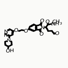 CNC(=O)C(CCC=O)N1C(=O)c2ccc(OCCOc3cnnc(N4CCC(O)CC4)c3)cc2C1=O